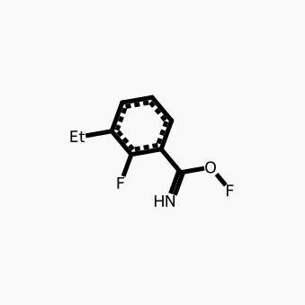 CCc1cccc(C(=N)OF)c1F